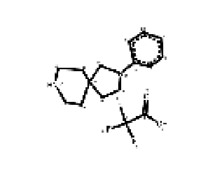 O=C(O)C(F)(F)F.c1ccc(N2CCC3(CCNCC3)C2)cc1